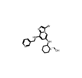 OC[C@@H]1CCCCC1Nc1cc(NCc2cccnc2)c2ncc(Br)n2c1